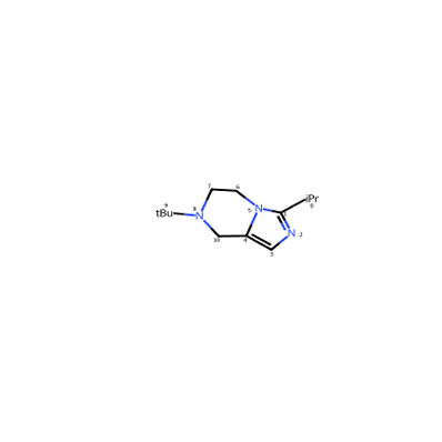 CC(C)c1ncc2n1CCN(C(C)(C)C)C2